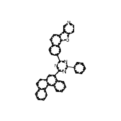 c1ccc(-c2nc(-c3ccc4ccc5c6cnccc6oc5c4c3)nc(-c3cc4ccc5ccccc5c4c4ccccc34)n2)cc1